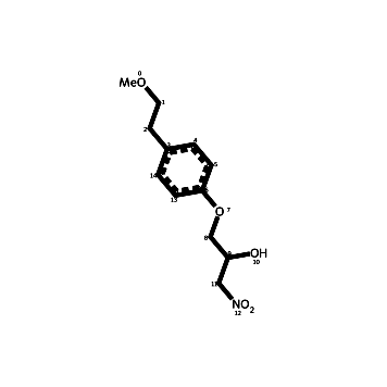 COCCc1ccc(OCC(O)C[N+](=O)[O-])cc1